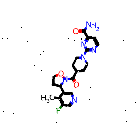 Cc1c(F)cncc1C1CCON1C(=O)C1CCN(c2nccc(C(N)=O)n2)CC1